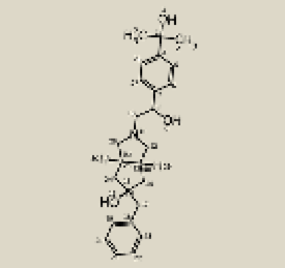 CC(C)(O)c1ccc(C(O)CN2C[C@@H]3C[C@](O)(Cc4ccccc4)C[C@@H]3C2)cc1